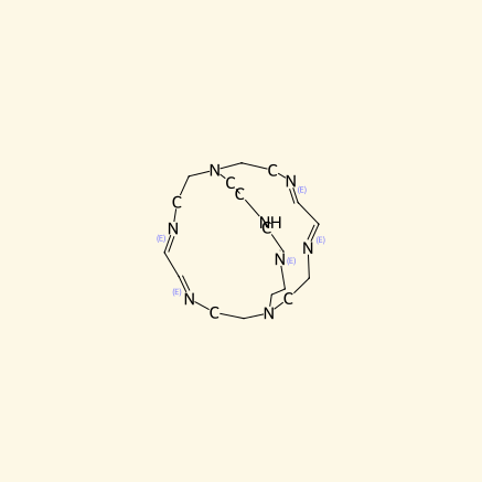 C1=N/CCN2CC/N=C/C=N/CCN(CC/N=C/1)CCNC/C=N/CC2